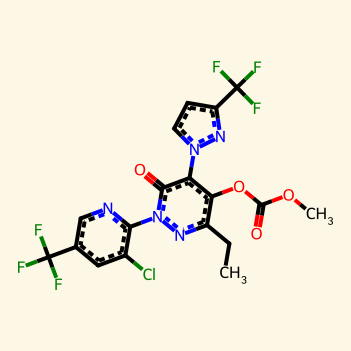 CCc1nn(-c2ncc(C(F)(F)F)cc2Cl)c(=O)c(-n2ccc(C(F)(F)F)n2)c1OC(=O)OC